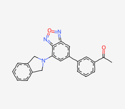 CC(=O)c1cccc(-c2cc(N3Cc4ccccc4C3)c3nonc3c2)c1